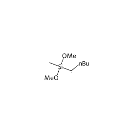 CCCC[CH][Si](C)(OC)OC